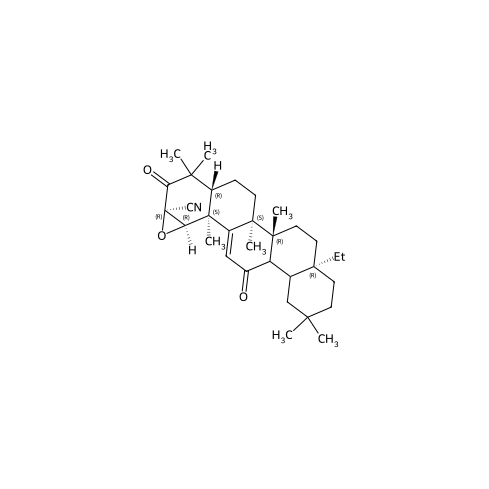 CC[C@]12CCC(C)(C)CC1C1C(=O)C=C3[C@@]4(C)[C@H]5O[C@@]5(C#N)C(=O)C(C)(C)[C@@H]4CC[C@@]3(C)[C@]1(C)CC2